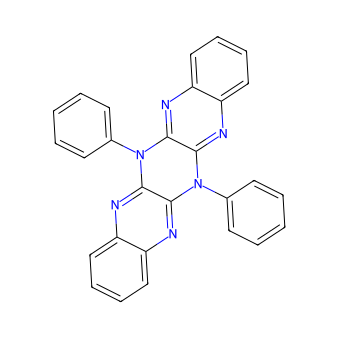 c1ccc(N2c3nc4ccccc4nc3N(c3ccccc3)c3nc4ccccc4nc32)cc1